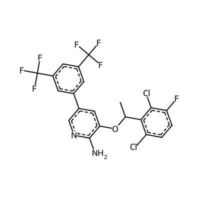 CC(Oc1cc(-c2cc(C(F)(F)F)cc(C(F)(F)F)c2)cnc1N)c1c(Cl)ccc(F)c1Cl